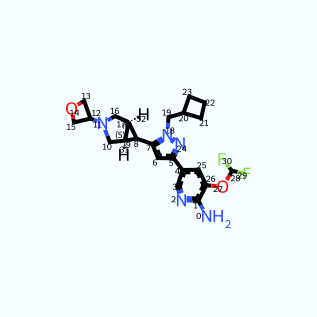 Nc1ncc(-c2cc(C3[C@H]4CN(C5COC5)C[C@@H]34)n(CC3CCC3)n2)cc1OC(F)F